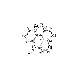 CCN(c1ccccc1)c1ncnc2ccc(OC(C)=O)cc12